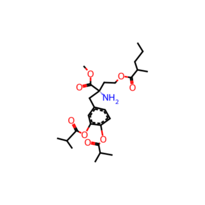 CCCC(C)C(=O)OCC[C@@](N)(Cc1ccc(OC(=O)C(C)C)c(OC(=O)C(C)C)c1)C(=O)OC